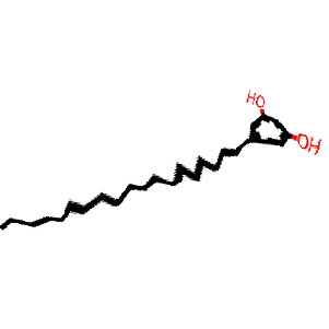 CCCCCCCCCCCCCCCCCC=Cc1cc(O)cc(O)c1